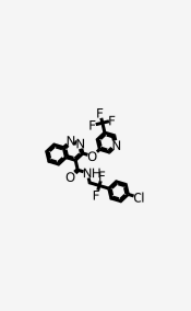 O=C(NCC(F)(F)c1ccc(Cl)cc1)c1c(Oc2cncc(C(F)(F)F)c2)nnc2ccccc12